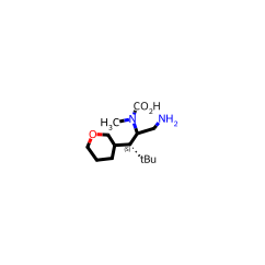 CN(C(=O)O)C(CN)[C@@H](C1CCCOC1)C(C)(C)C